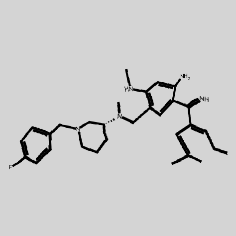 CC/C=C(\C=C(C)C)C(=N)c1cc(CN(C)[C@@H]2CCCN(Cc3ccc(F)cc3)C2)c(NC)cc1N